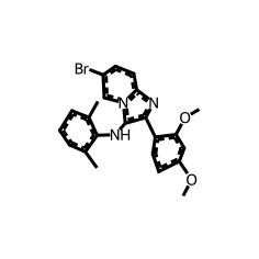 COc1ccc(-c2nc3ccc(Br)cn3c2Nc2c(C)cccc2C)c(OC)c1